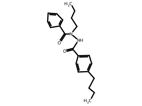 CCCCc1ccc(C(=O)NN(CCCC)C(=O)c2ccccc2)cc1